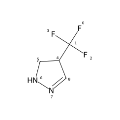 FC(F)(F)C1[CH]NN=C1